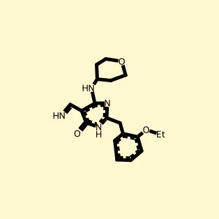 CCOc1ccccc1Cc1nc(NC2CCOCC2)c(C=N)c(=O)[nH]1